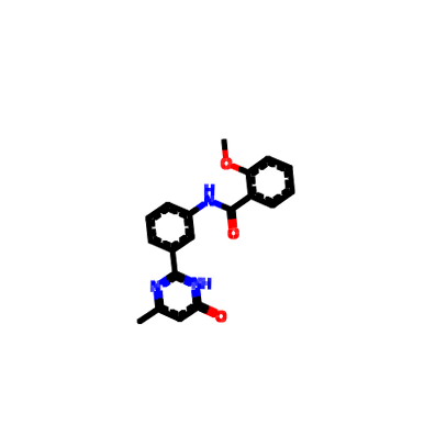 COc1ccccc1C(=O)Nc1cccc(-c2nc(C)cc(=O)[nH]2)c1